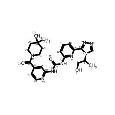 CC(CO)n1cnnc1-c1cccc(NC(=O)Nc2cc(C(=O)N3CCC(C)(C)CC3)ccn2)n1